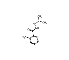 CC(C)NNC(=O)c1ncccc1N